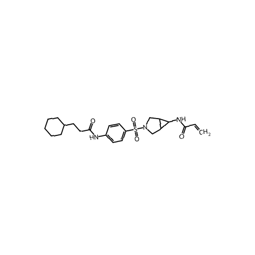 C=CC(=O)NC1C2CN(S(=O)(=O)c3ccc(NC(=O)CCC4CCCCC4)cc3)CC21